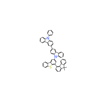 CC1(C)c2ccccc2-c2c(-c3cc(-n4c5ccccc5c5cc(-c6ccc7c(c6)c6ccccc6n7-c6ccccc6)ccc54)cc4c3sc3ccccc34)cccc21